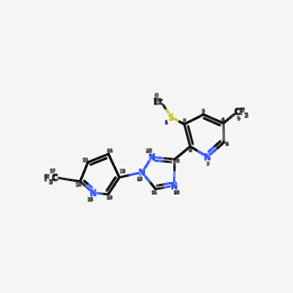 CCSc1cc(C(F)(F)F)cnc1-c1ncn(-c2ccc(C(F)(F)F)nc2)n1